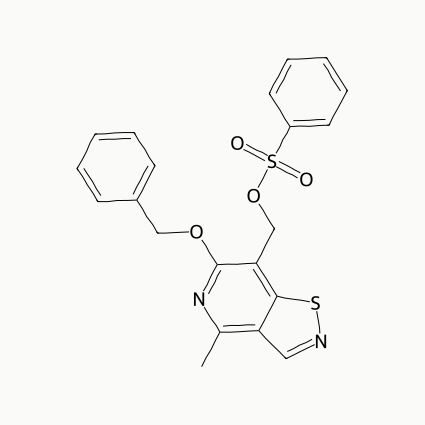 Cc1nc(OCc2ccccc2)c(COS(=O)(=O)c2ccccc2)c2sncc12